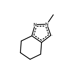 Cn1[c]c2c(n1)CCCC2